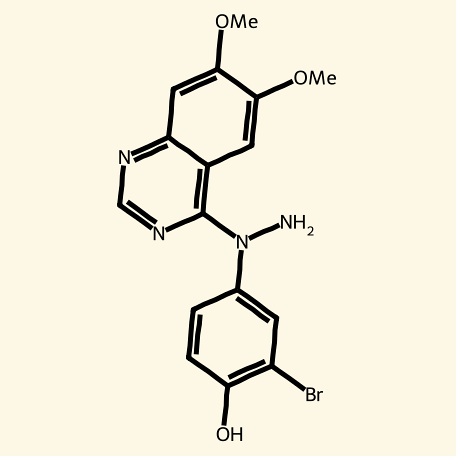 COc1cc2ncnc(N(N)c3ccc(O)c(Br)c3)c2cc1OC